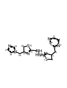 c1cnc(CC2CSC(NNC3=NC(Cn4ccnc4)CS3)=N2)cn1